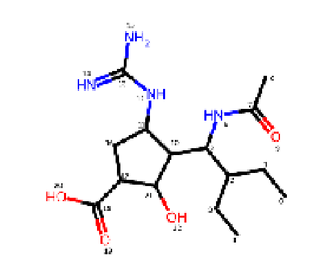 CCC(CC)C(NC(C)=O)C1C(NC(=N)N)CC(C(=O)O)C1O